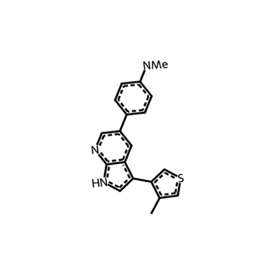 CNc1ccc(-c2cnc3[nH]cc(-c4cscc4C)c3c2)cc1